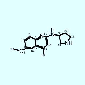 COc1ccc2nc(NC3CCNC3)cc(C)c2c1